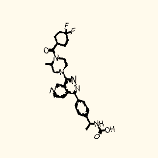 CC(NC(=O)O)c1ccc(-c2nnc(N3CCN(C(=O)C4CCC(F)(F)CC4)C(C)C3)c3cnccc23)cc1